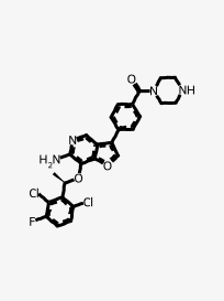 C[C@@H](Oc1c(N)ncc2c(-c3ccc(C(=O)N4CCNCC4)cc3)coc12)c1c(Cl)ccc(F)c1Cl